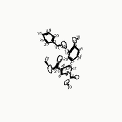 COC(=O)[C@@H]1CN(C(=O)OC)C[C@H]1c1ccc(OC)c(OCc2ccccc2)c1